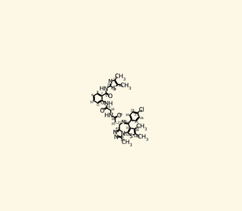 Cc1nc(NC(=O)c2ccccc2NC(=O)CNC(=O)C[C@@H]2N=C(c3ccc(Cl)cc3)c3c(sc(C)c3C)-n3c(C)nnc32)sc1C